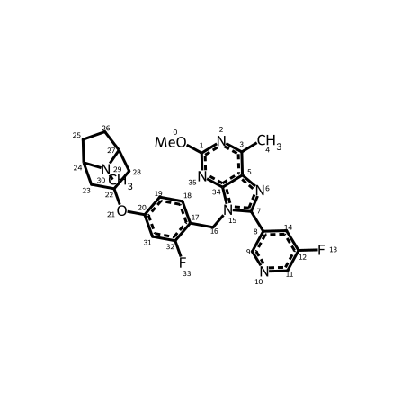 COc1nc(C)c2nc(-c3cncc(F)c3)n(Cc3ccc(OC4CC5CCC(C4)N5C)cc3F)c2n1